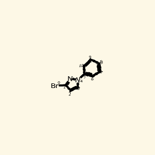 Brc1c[c]n(-c2ccccc2)n1